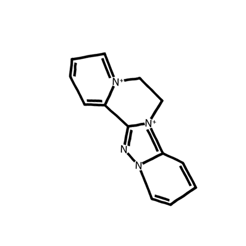 c1cc[n+]2c(c1)-c1nn3ccccc3[n+]1CC2